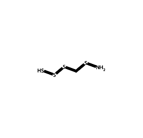 NSCSSS